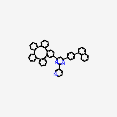 c1cncc(-c2nc(-c3ccc(-c4cccc5ccccc45)cc3)cc(-c3ccc4c5ccccc5c5ccccc5c5ccccc5c5ccccc5c4c3)n2)c1